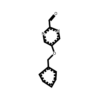 O=Cc1ncc(OCc2ccccc2)cn1